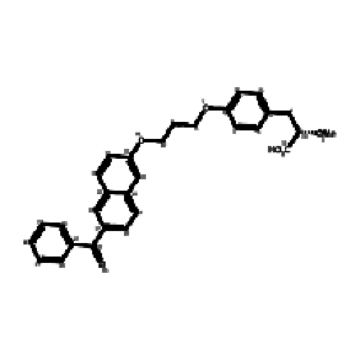 CO[C@@H](Cc1ccc(OCCCOc2ccc3cc(C(=O)c4ccccc4)ccc3c2)cc1)C(=O)O